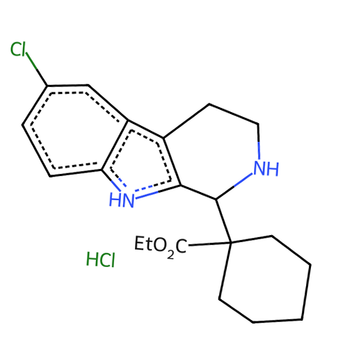 CCOC(=O)C1(C2NCCc3c2[nH]c2ccc(Cl)cc32)CCCCC1.Cl